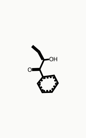 C=C=C(O)C(=O)c1ccccc1